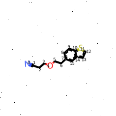 N#CCCOCCc1ccc2sccc2c1